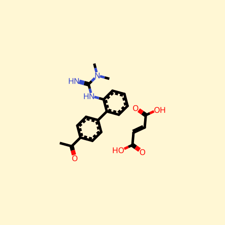 CC(=O)c1ccc(-c2ccccc2NC(=N)N(C)C)cc1.O=C(O)/C=C/C(=O)O